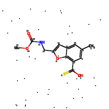 Cc1cc(C(O)=S)c2oc(CNC(=O)OC(C)(C)C)cc2c1